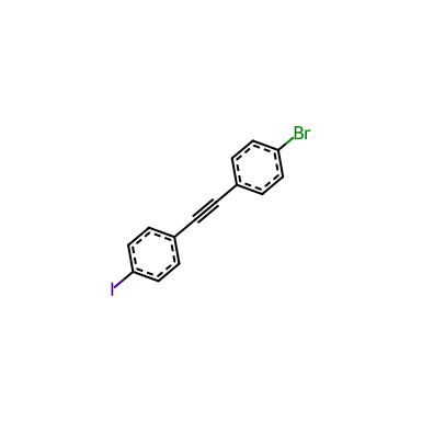 Brc1ccc(C#Cc2ccc(I)cc2)cc1